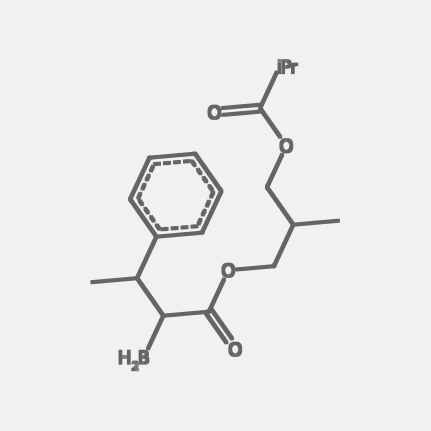 BC(C(=O)OCC(C)COC(=O)C(C)C)C(C)c1ccccc1